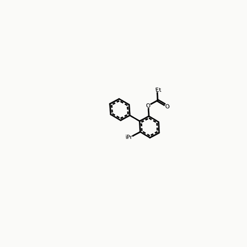 CCC(=O)Oc1cccc(C(C)C)c1-c1ccccc1